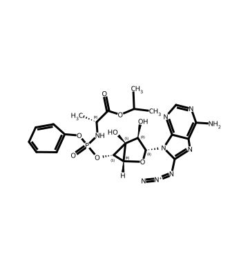 CC(C)OC(=O)[C@@H](C)NP(=O)(Oc1ccccc1)O[C@H]1[C@H]2O[C@@H](n3c(N=[N+]=[N-])nc4c(N)ncnc43)[C@H](O)[C@]21O